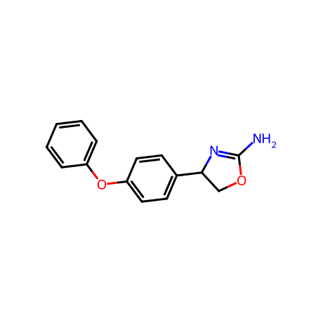 NC1=NC(c2ccc(Oc3ccccc3)cc2)CO1